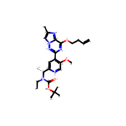 C=CCCOc1nc(-c2cc([C@@H](C)N(CC)C(=O)OC(C)(C)C)ncc2OC)nn2cc(C)nc12